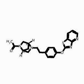 CC(=O)N1C[C@H]2C[C@@H]1CN2CCc1ccc(Oc2nc3ncccc3s2)cc1